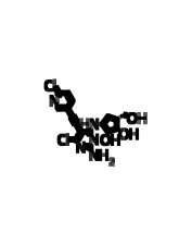 Nc1nc(Cl)c(C#Cc2ccc(Cl)nc2)c(N[C@@H]2C[C@H](CO)[C@@H](O)[C@H]2O)n1